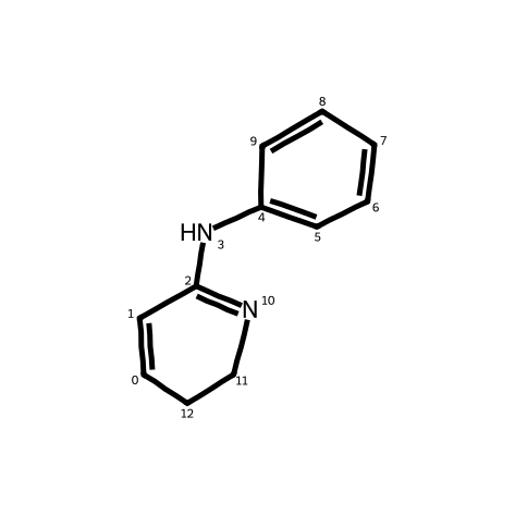 C1=CC(Nc2ccccc2)=NCC1